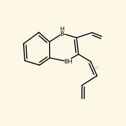 C=C/C=C\C1=C(C=C)Bc2ccccc2B1